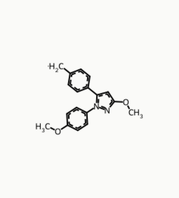 [CH2]c1ccc(-c2cc(OC)nn2-c2ccc(OC)cc2)cc1